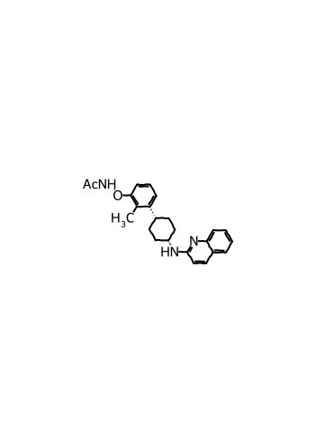 CC(=O)NOc1cccc([C@H]2CC[C@@H](Nc3ccc4ccccc4n3)CC2)c1C